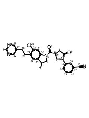 CC1CN(C(=O)[C@H]2CC(=O)N(c3cccc(C#N)c3)C2)c2cc(Cl)c(CCc3cncnc3)cc21